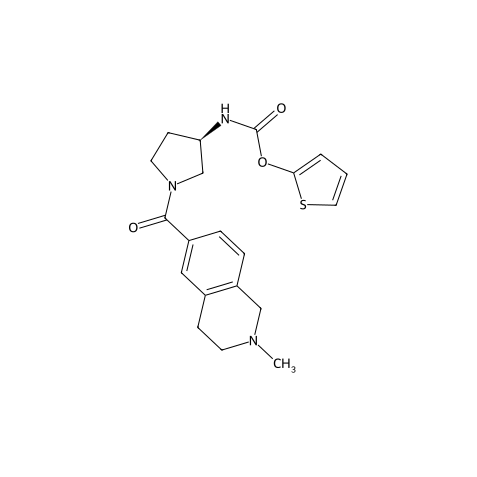 CN1CCc2cc(C(=O)N3CC[C@@H](NC(=O)Oc4cccs4)C3)ccc2C1